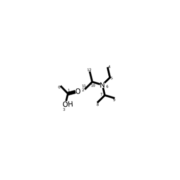 CC(=O)O.CCN(C(C)C)C(C)C